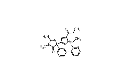 CCC(=O)c1cc([C@]2(c3cccc(-c4cccnc4F)c3)N=C(N)N(C)C2=O)cn1CC